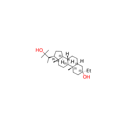 CC[C@]1(O)CC[C@@]2(C)[C@@H](CC[C@@H]3[C@@H]2CC[C@]2(C)[C@@H](C(C)C(C)(C)O)CC[C@@H]32)C1